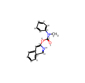 CN(C(=O)Oc1cc2ccccc2cn1)c1ccccc1